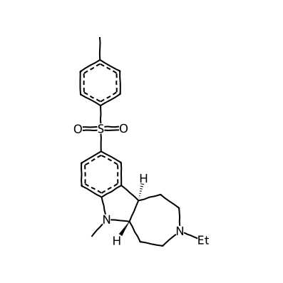 CCN1CC[C@@H]2c3cc(S(=O)(=O)c4ccc(C)cc4)ccc3N(C)[C@H]2CC1